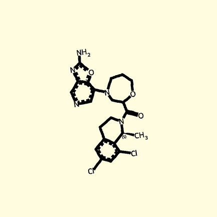 C[C@H]1c2c(Cl)cc(Cl)cc2CCN1C(=O)C1CN(c2cncc3nc(N)oc23)CCCO1